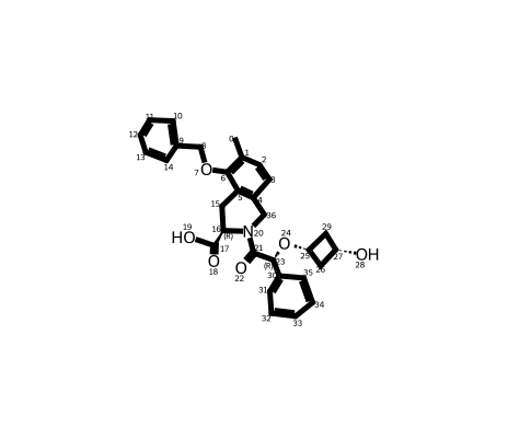 Cc1ccc2c(c1OCc1ccccc1)C[C@H](C(=O)O)N(C(=O)[C@H](O[C@H]1C[C@@H](O)C1)c1ccccc1)C2